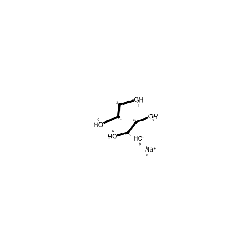 OCCO.OCCO.[Na+].[OH-]